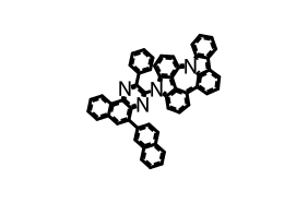 c1ccc(-c2nc3c(nc2-n2c4cccc5c6cccc7c8ccccc8n(c8cccc2c8c54)c67)c(-c2ccc4ccccc4c2)cc2ccccc23)cc1